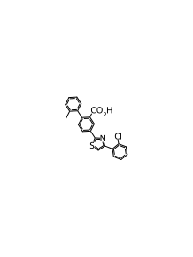 Cc1ccccc1-c1ccc(-c2nc(-c3ccccc3Cl)cs2)cc1C(=O)O